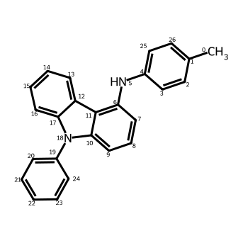 Cc1ccc(Nc2cccc3c2c2ccccc2n3-c2ccccc2)cc1